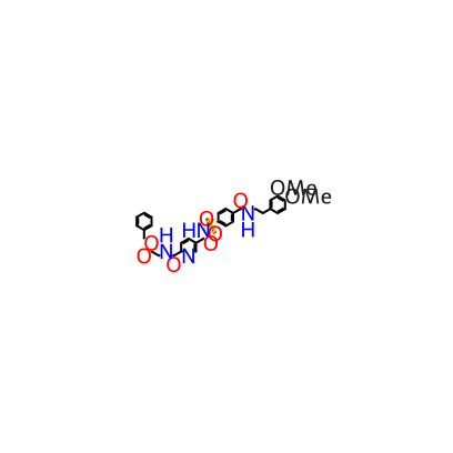 COc1ccc(CCNC(=O)c2ccc(S(=O)(=O)NC(=O)c3ccc(C(=O)NCC(=O)OCc4ccccc4)nc3)cc2)cc1OC